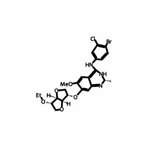 CCO[C@H]1CO[C@H]2[C@@H]1OC[C@@H]2Oc1cc2c(cc1OC)=C(Nc1ccc(Br)c(Cl)c1)N[C@H](C)N=2